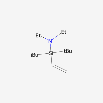 C=C[Si](C(C)CC)(N(CC)CC)C(C)(C)C